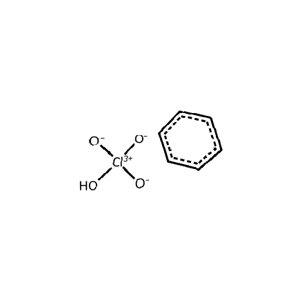 [O-][Cl+3]([O-])([O-])O.c1ccccc1